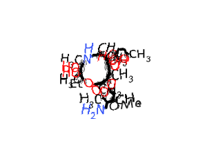 CC[C@H]1OC(=O)[C@H](C)[C@@H](O[C@H]2C[C@@](C)(OC)C(CN)[C@H](C)O2)[C@H](C)[C@@H](O[C@@H]2O[C@H](C)CC[C@H]2O)[C@](C)(O)C[C@@H](C)CN[C@H](C)[C@@H](O)[C@]1(C)O